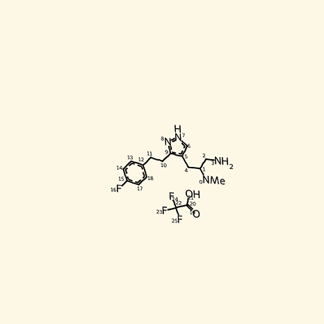 CNC(CN)Cc1c[nH]nc1CCc1ccc(F)cc1.O=C(O)C(F)(F)F